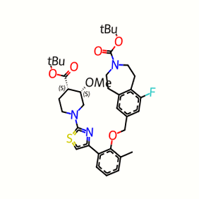 CO[C@@H]1CN(c2nc(-c3cccc(C)c3OCc3cc(F)c4c(c3)CCN(C(=O)OC(C)(C)C)CC4)cs2)CC[C@@H]1C(=O)OC(C)(C)C